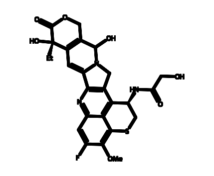 CC[C@@]1(O)C(=O)OCC2=C1C=C1c3nc4cc(F)c(OC)c5c4c(c3CN1C2O)[C@@H](NC(=O)CO)CS5